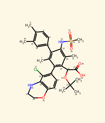 Cc1ccc(-c2c(C)c(-c3ccc4c(c3Cl)NCCO4)c(C(OC(C)(C)C)C(=O)O)c(C)c2NS(C)(=O)=O)cc1C